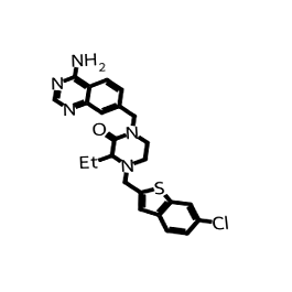 CCC1C(=O)N(Cc2ccc3c(N)ncnc3c2)CCN1Cc1cc2ccc(Cl)cc2s1